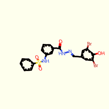 O=C(NN=Cc1cc(Br)c(O)c(Br)c1)c1cccc(NS(=O)(=O)c2ccccc2)c1